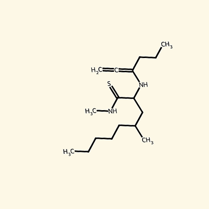 C=C=C(CCC)NC(CC(C)CCCCC)C(=S)NC